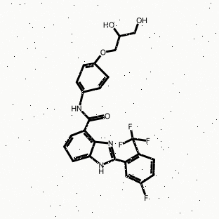 O=C(Nc1ccc(OCC(O)CO)cc1)c1cccc2[nH]c(-c3cc(F)ccc3C(F)(F)F)nc12